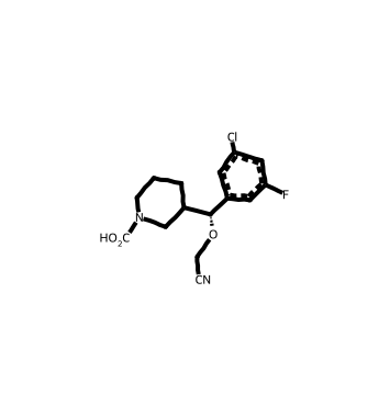 N#CCO[C@@H](c1cc(F)cc(Cl)c1)C1CCCN(C(=O)O)C1